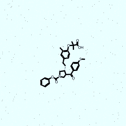 CSc1ccc(C(=O)C2CN(C(=O)Oc3ccccc3)C[C@@H]2CCc2ccc(OC(C)(C)C(=O)O)c(C)c2)cc1